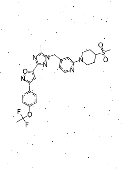 Cc1nc(-c2cc(-c3ccc(OC(C)(F)F)cc3)no2)nn1Cc1ccnc(N2CCC(S(C)(=O)=O)CC2)c1